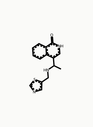 CC(NCc1cncs1)c1c[nH]c(=O)c2ccccc12